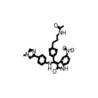 CC(=O)NCCCc1ccc(/C(Nc2ccc(-c3cn(C)cn3)cc2)=C2/C(=O)Nc3ccc([N+](=O)[O-])cc32)cc1